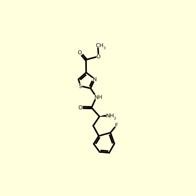 COC(=O)c1csc(NC(=O)[C@@H](N)Cc2ccccc2F)n1